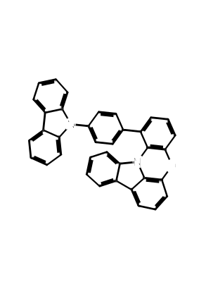 c1cc2c(c(-c3ccc(-n4c5ccccc5c5ccccc54)cc3)c1)-n1c3ccccc3c3cccc(c31)O2